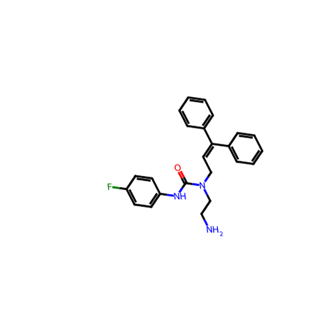 NCCN(CC=C(c1ccccc1)c1ccccc1)C(=O)Nc1ccc(F)cc1